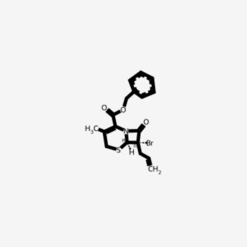 C=CC[C@]1(Br)C(=O)N2C(C(=O)OCc3ccccc3)=C(C)CS[C@@H]21